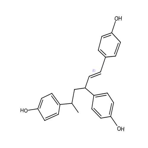 CC(CC(/C=C/c1ccc(O)cc1)c1ccc(O)cc1)c1ccc(O)cc1